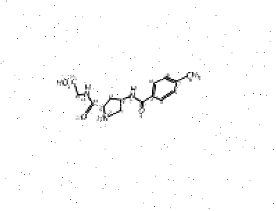 Cc1ccc(C(=O)N[C@H]2CN[C@H](C(=O)NCC(=O)O)C2)cc1